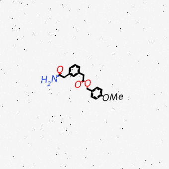 COc1ccc(COC(=O)Cc2cccc(CC(N)=O)c2)cc1